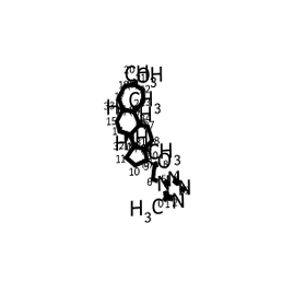 Cc1nnnn1CC(=O)[C@H]1CC[C@H]2[C@@H]3CC[C@H]4CC[C@](C)(O)CC[C@]4(C)[C@H]3CC[C@]12C